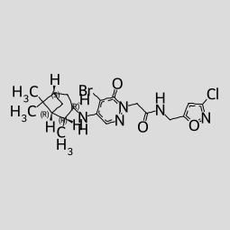 C[C@@H]1[C@H]2C[C@@H](C[C@H]1Nc1cnn(CC(=O)NCc3cc(Cl)no3)c(=O)c1Br)C2(C)C